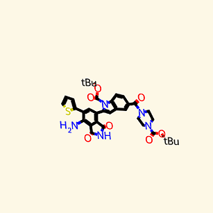 CC(C)(C)OC(=O)N1CCN(C(=O)c2ccc3c(c2)cc(-c2cc(-c4cccs4)c(N)c4c2C(=O)NC4=O)n3C(=O)OC(C)(C)C)CC1